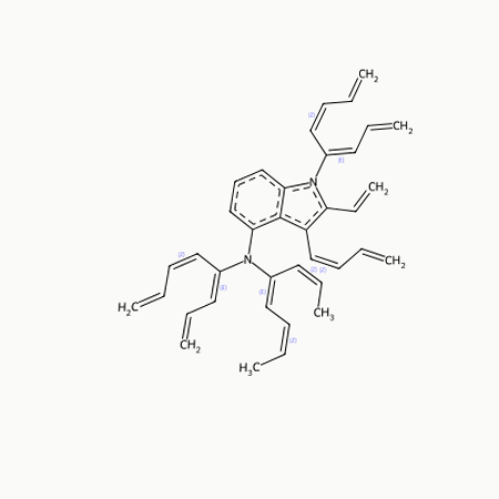 C=C/C=C\C(=C/C=C)N(C(/C=C\C)=C/C=C\C)c1cccc2c1c(/C=C\C=C)c(C=C)n2C(/C=C\C=C)=C/C=C